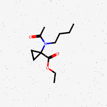 CCCCN(C(C)=O)C1(C(=O)OCC)CC1